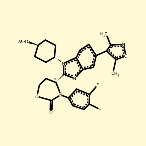 CO[C@H]1CC[C@H](n2c([C@H]3CCOC(=O)N3c3ccc(F)c(F)c3)nc3cc(-c4c(C)noc4C)ccc32)CC1